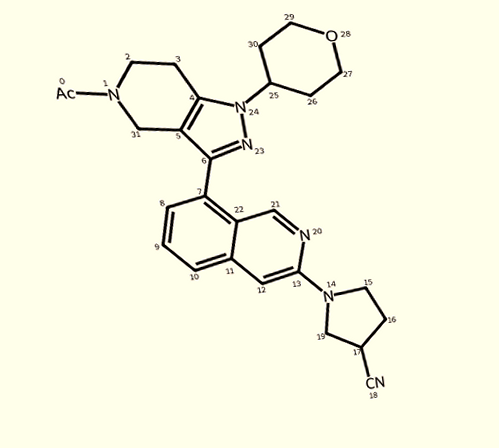 CC(=O)N1CCc2c(c(-c3cccc4cc(N5CCC(C#N)C5)ncc34)nn2C2CCOCC2)C1